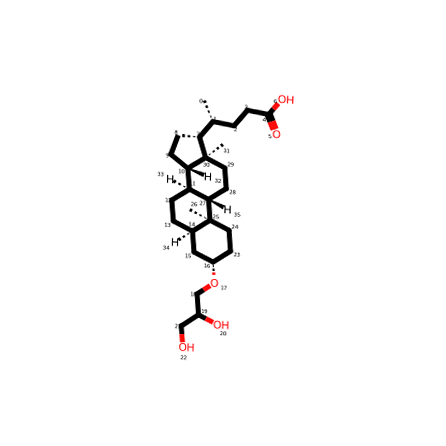 C[C@H](CCC(=O)O)[C@H]1CC[C@H]2[C@@H]3CC[C@@H]4C[C@@H](OCC(O)CO)CC[C@]4(C)[C@H]3CC[C@]12C